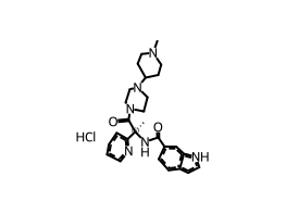 CN1CCC(N2CCN(C(=O)[C@@](C)(NC(=O)c3ccc4cc[nH]c4c3)c3ccccn3)CC2)CC1.Cl